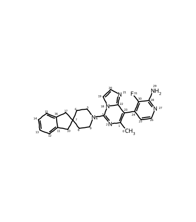 Cc1nc(N2CCC3(CC2)Cc2ccccc2C3)n2ccnc2c1-c1ccnc(N)c1F